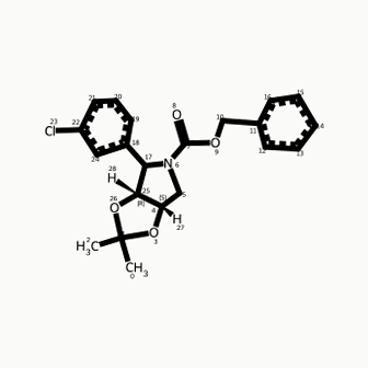 CC1(C)O[C@H]2CN(C(=O)OCc3ccccc3)C(c3cccc(Cl)c3)[C@H]2O1